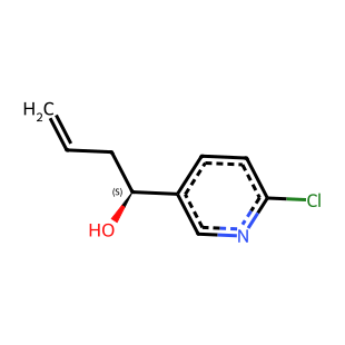 C=CC[C@H](O)c1ccc(Cl)nc1